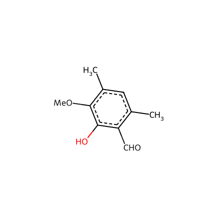 COc1c(C)cc(C)c(C=O)c1O